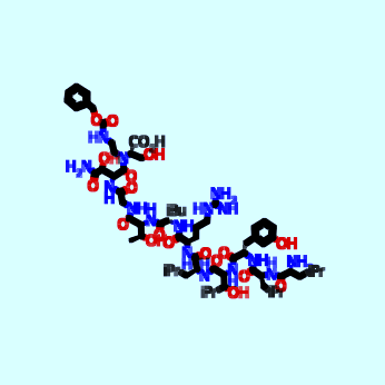 CC[C@H](C)[C@H](NC(=O)[C@@H](CCCNC(=N)N)NC(=O)[C@H](CC(C)C)NC(=O)[C@@H](NC(=O)[C@H](Cc1cccc(O)c1)NC(=O)[C@H](CC(C)C)NC(=O)[C@H](N)CC(C)C)C(O)C(C)C)C(=O)N[C@H](C(=O)NCC(=O)N[C@H](C(=O)N(CCNC(=O)OCc1ccccc1)[C@@H](CO)C(=O)O)C(O)C(N)=O)[C@H](C)O